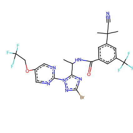 CC(NC(=O)c1cc(C(F)(F)F)cc(C(C)(C)C#N)c1)c1nc(Br)nn1-c1ncc(OCC(F)(F)F)cn1